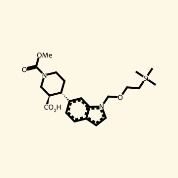 COC(=O)N1CC[C@H](c2ccc3ccn(COCC[Si](C)(C)C)c3c2)[C@@H](C(=O)O)C1